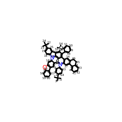 CC(C)(C)c1ccc(N2B3c4cc5c(cc4-n4c6ccc(C(C)(C)C)cc6c6c7c(c(c3c64)-c3cc4c(cc32)-c2ccccc2CC4)-c2ccccc2[Si]7(C)C)oc2ccccc25)cc1